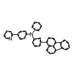 c1ccc(N(c2ccc(-c3ccccn3)cc2)c2cccc(-c3ccc4c5c(cccc35)-c3ccccc3-4)c2)cc1